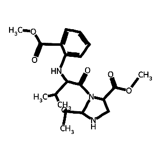 COC(=O)c1ccccc1NC(C(=O)N1C(C(=O)OC)CNC1C(C)=O)C(C)C